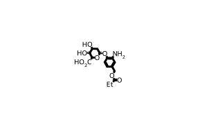 CCC(=O)OCc1ccc(O[C@@H]2CC(O)[C@H](O)C(C(=O)O)O2)c(N)c1